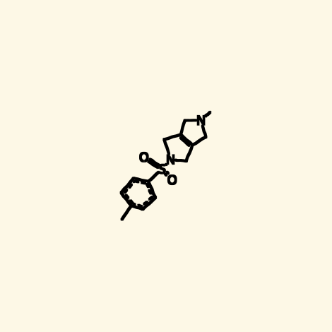 Cc1ccc(S(=O)(=O)N2CC3=C(CN(C)C3)C2)cc1